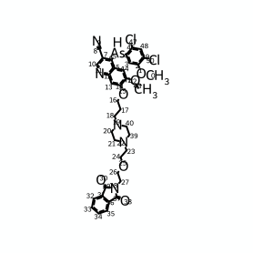 COc1cc([AsH]c2c(C#N)cnc3cc(OCCCN4CCN(CCOCCN5C(=O)c6ccccc6C5=O)CC4)c(OC)cc23)c(Cl)cc1Cl